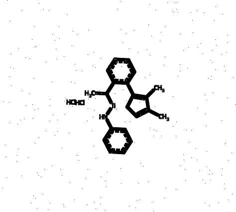 CC1=CCC(c2ccccc2[CH](C)[Ti][NH]c2ccccc2)=C1C.Cl.Cl